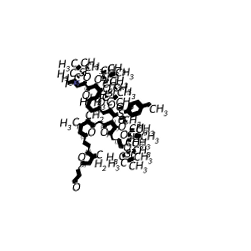 C=C1C[C@H](CCC=O)O[C@H]1CC[C@H]1C[C@@H](C)C(=C)[C@@H](C[C@@H]2O[C@H](C[C@@H](CO[Si](C)(C)C(C)(C)C)O[Si](C)(C)C(C)(C)C)[C@H](OC)[C@H]2C(C(=O)C[C@H]2CC[C@@H]3O[C@@H](C(/C=C/I)O[Si](C)(C)C(C)(C)C)C(O[Si](C)(C)C(C)(C)C)C(O[Si](C)(C)C(C)(C)C)[C@H]3O2)S(=O)(=O)c2ccc(CC)cc2)O1